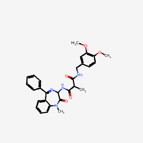 COc1ccc(CNC(=O)C(C)C(=O)NC2N=C(c3ccccc3)c3ccccc3N(C)C2=O)cc1OC